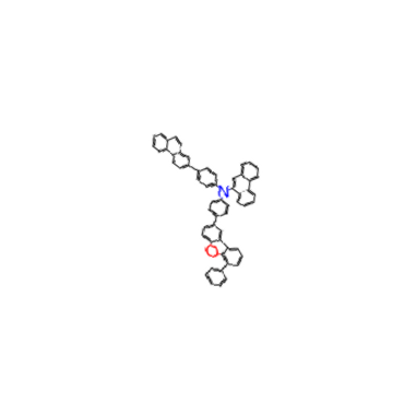 c1ccc(-c2cccc3c2oc2ccc(-c4ccc(N(c5ccc(-c6ccc7c(ccc8ccccc87)c6)cc5)c5cc6ccccc6c6ccccc56)cc4)cc23)cc1